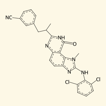 CC(Cc1cccc(C#N)c1)c1nc2ccc3nc(Nc4c(Cl)cccc4Cl)n(C)c3c2c(=O)[nH]1